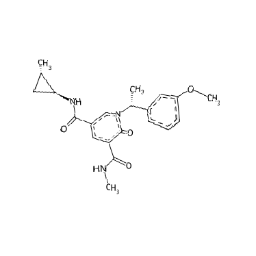 CNC(=O)c1cc(C(=O)N[C@H]2C[C@@H]2C)cn([C@H](C)c2cccc(OC)c2)c1=O